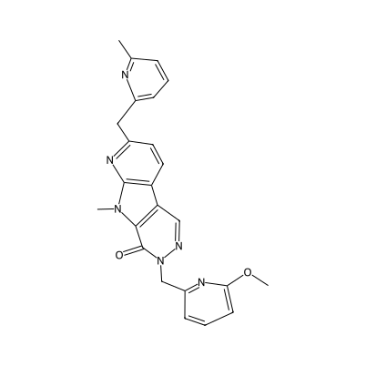 COc1cccc(Cn2ncc3c4ccc(Cc5cccc(C)n5)nc4n(C)c3c2=O)n1